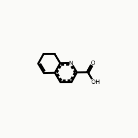 O=C(O)c1ccc2c(n1)CCC=C2